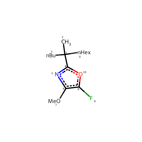 CCCCCCC(C)(CCCC)c1nc(OC)c(F)o1